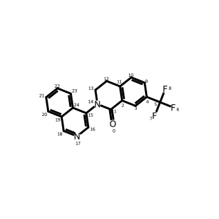 O=C1c2cc(C(F)(F)F)ccc2CCN1c1cncc2ccccc12